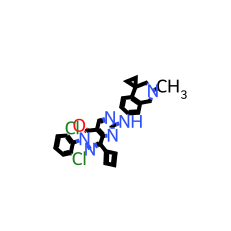 CN1Cc2cc(Nc3ncc4c(=O)n(-c5c(Cl)cccc5Cl)nc(C5=CC=C5)c4n3)ccc2C2(CC2)C1